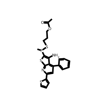 CC(=O)OCCCSP(C)c1sc2nc(-c3cccs3)cc(-c3ccccc3)c2c1N